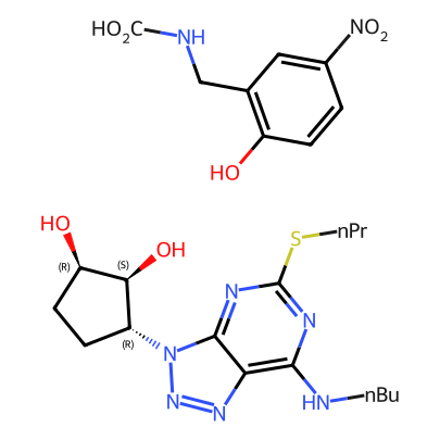 CCCCNc1nc(SCCC)nc2c1nnn2[C@@H]1CC[C@@H](O)[C@H]1O.O=C(O)NCc1cc([N+](=O)[O-])ccc1O